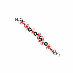 C=CC(=O)OCCOC(=O)Oc1ccc(C(=O)Oc2ccc(C(=O)OC3CO[C@@H]4[C@@H](OC(=O)c5ccc(OC(=O)OCCOC(=O)C=C)cc5)CO[C@H]34)cc2)cc1